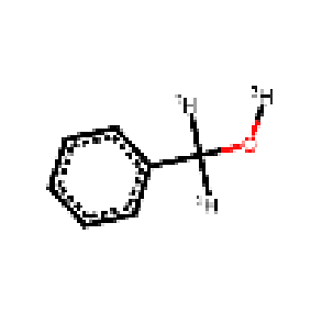 [2H]OC([2H])([2H])c1ccccc1